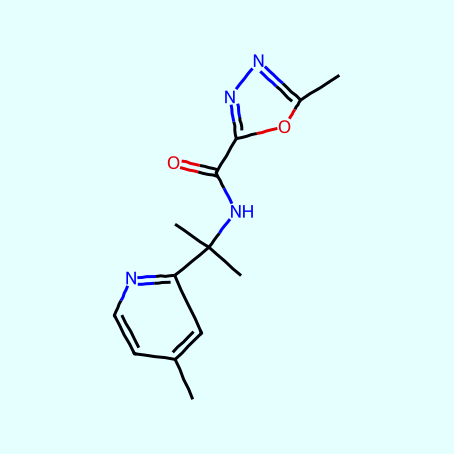 Cc1ccnc(C(C)(C)NC(=O)c2nnc(C)o2)c1